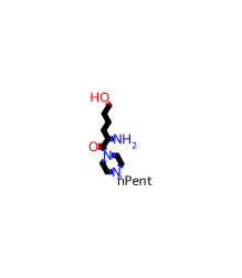 CCCCCN1CCN(C(=O)C(N)CCCCO)CC1